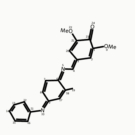 COC1=CC(=CN=C2C=CC(=Nc3ccccc3)C=C2C)C=C(OC)C1=O